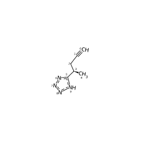 C#CC[C@@H](C)c1nnn[nH]1